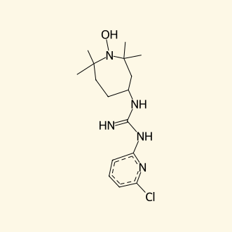 CC1(C)CCC(NC(=N)Nc2cccc(Cl)n2)CC(C)(C)N1O